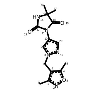 Cc1noc(C)c1Cn1cc(N2C(=O)NC(C)(C)C2=O)cn1